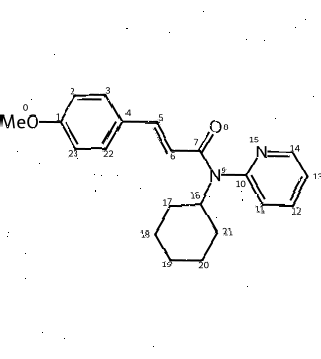 COc1ccc(C=CC(=O)N(c2ccccn2)C2CCCCC2)cc1